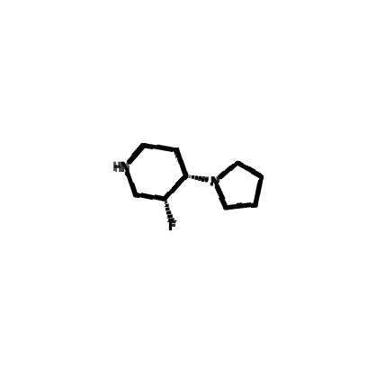 F[C@@H]1CNCC[C@@H]1N1CCCC1